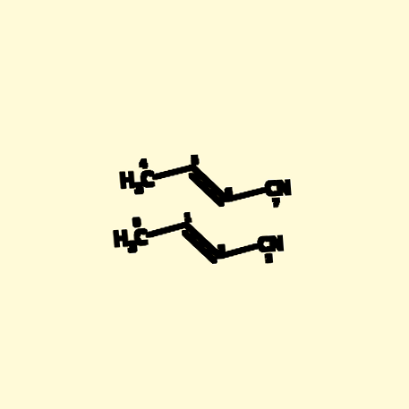 CC=CC#N.CC=CC#N